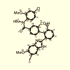 CCCCN(C(=O)c1ccc(-c2c(Cl)cccc2-c2nc3cc(OC)c(F)cc3[nH]2)c(C(=O)O)c1)c1ccc(Cl)cc1OC